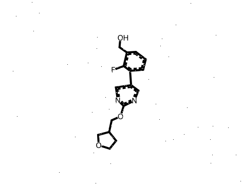 OCc1cccc(-c2cnc(OCC3CCOC3)nc2)c1F